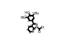 CCC(=O)n1nc(-c2cc(C(C)(C)C)c(O)c(C(C)(C)C)c2)c2cccnc21